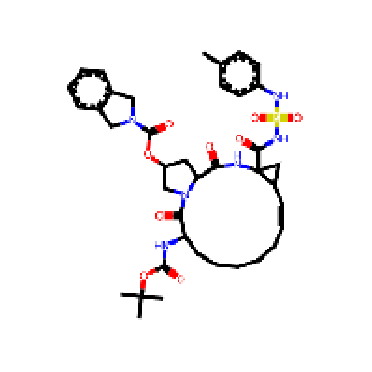 Cc1ccc(NS(=O)(=O)NC(=O)C23CC2C=CCCCCCC(NC(=O)OC(C)(C)C)C(=O)N2CC(OC(=O)N4Cc5ccccc5C4)CC2C(=O)N3)cc1